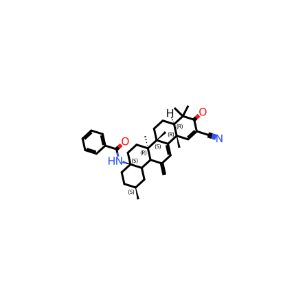 C=C1C=C2[C@@]3(C)C=C(C#N)C(=O)C(C)(C)[C@@H]3CC[C@@]2(C)[C@]2(C)CC[C@@]3(NC(=O)c4ccccc4)CC[C@H](C)CC3C12